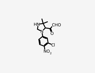 CC1(C)NCN(c2ccc([N+](=O)[O-])c(Cl)c2)C1C(=O)C=O